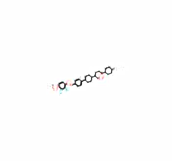 CCCC1CCC(C2CCC(C3CCC(c4ccc(COc5ccc(OCC)c(F)c5F)cc4)CC3)CO2)CC1